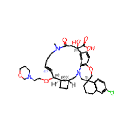 CN1CC/C=C/[C@H](OCCN2CCCOC2)[C@@H]2CC[C@H]2CN2C[C@@]3(CCCc4cc(Cl)ccc43)COc3ccc(cc32)[C@@](O)(C(=O)O)CC1=O